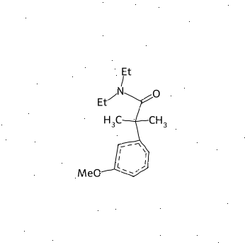 CCN(CC)C(=O)C(C)(C)c1cccc(OC)c1